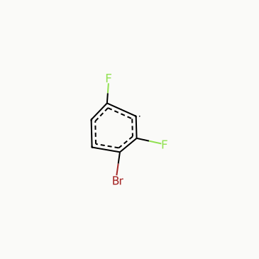 Fc1[c]c(F)c(Br)cc1